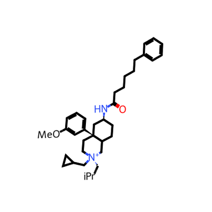 COc1cccc([C@]23CC[N@+](CC(C)C)(CC4CC4)CC2CC[C@H](NC(=O)CCCCCc2ccccc2)C3)c1